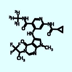 [2H]C([2H])([2H])NC(=O)c1cnc(NC(=O)C2CC2)cc1Nc1cn(C)c2ncn(C(C)C(F)(F)F)c(=O)c12